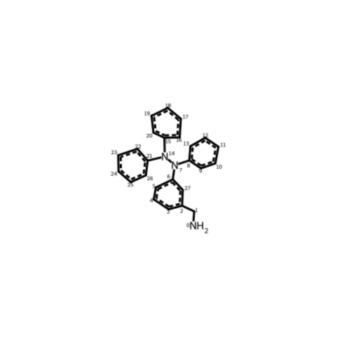 NCc1cccc(N(c2ccccc2)N(c2ccccc2)c2ccccc2)c1